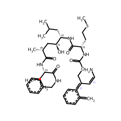 C=c1cccc/c1=C(/C=C\N)COC(=O)N[C@@H](CCSC)C(=O)N[C@@H](CC(C)C)[C@@H](O)C[C@@H](C)C(=O)N[C@H](C(=O)NCc1ccccc1)C(C)C